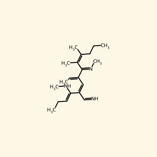 C/C=C(\C=C(C=N)/C(=C/CC)NC)C(=N/C)/C(C)=C(/C)CCC